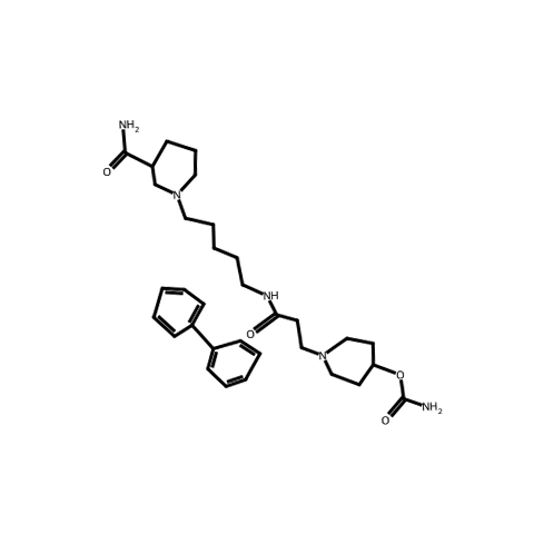 NC(=O)OC1CCN(CCC(=O)NCCCCCN2CCCC(C(N)=O)C2)CC1.c1ccc(-c2ccccc2)cc1